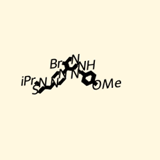 COc1ccc(-c2nc3c(N4CCN(Cc5csc(C(C)C)n5)CC4)c(Br)cnc3[nH]2)cc1